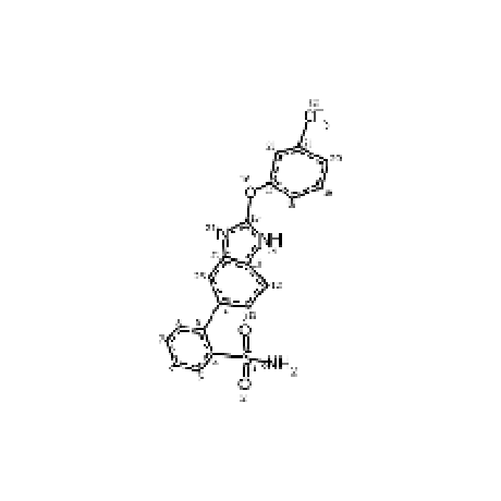 NS(=O)(=O)c1ccccc1-c1ccc2[nH]c(Oc3cccc(C(F)(F)F)c3)nc2c1